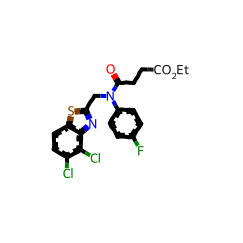 CCOC(=O)CCC(=O)N(Cc1nc2c(Cl)c(Cl)ccc2s1)c1ccc(F)cc1